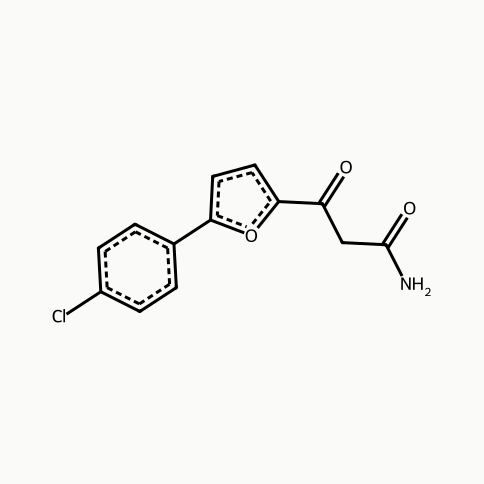 NC(=O)CC(=O)c1ccc(-c2ccc(Cl)cc2)o1